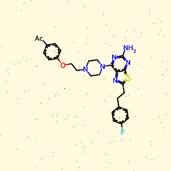 CC(=O)c1ccc(OCCN2CCN(c3nc(N)nc4sc(CCc5ccc(F)cc5)nc34)CC2)cc1